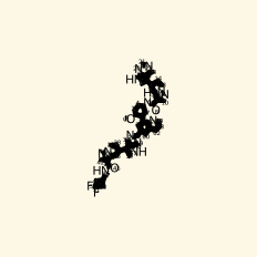 CO[C@H]1CC[C@H](NC(=O)c2cnn3ccc(-c4c[nH]c5ncncc45)cc23)CC1c1cc(-c2ncc3c(-c4ccn5ncc(C(=O)NCC6CC(F)(F)C6)c5c4)c[nH]c3n2)cc2cccnc12